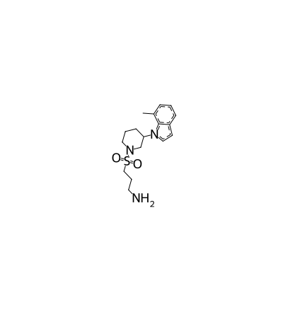 Cc1cccc2ccn(C3CCCN(S(=O)(=O)CCCN)C3)c12